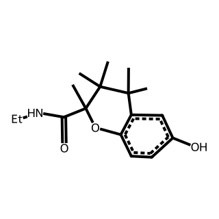 CCNC(=O)C1(C)Oc2ccc(O)cc2C(C)(C)C1(C)C